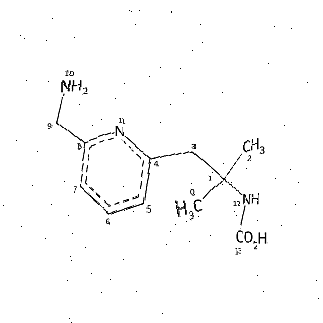 CC(C)(Cc1cccc(CN)n1)NC(=O)O